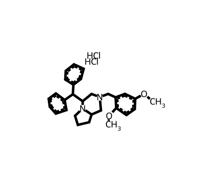 COc1ccc(OC)c(CN2CC3CCCN3C(C(c3ccccc3)c3ccccc3)C2)c1.Cl.Cl